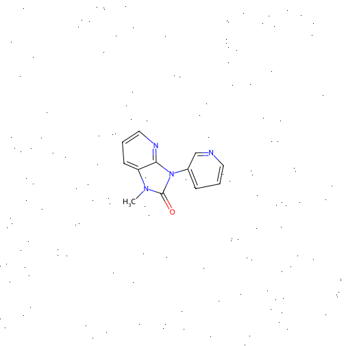 Cn1c(=O)n(-c2cccnc2)c2ncccc21